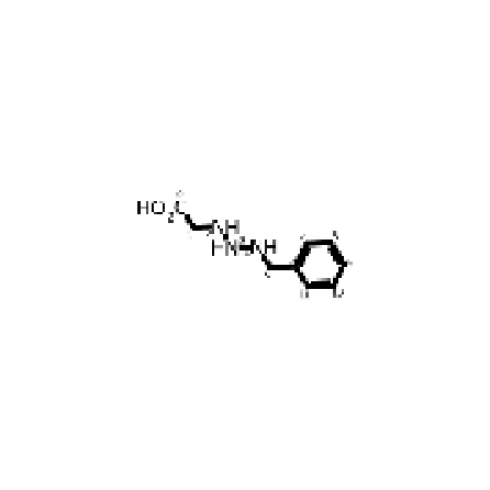 O=C(O)CNNNCc1ccccc1